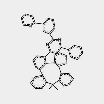 CC1(C)c2ccccc2-c2ccccc2-c2c(-c3cc(-c4ccccc4)nc(-c4cccc(-c5ccccn5)c4)n3)cccc2-c2ccccc21